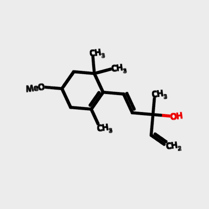 C=CC(C)(O)C=CC1=C(C)CC(OC)CC1(C)C